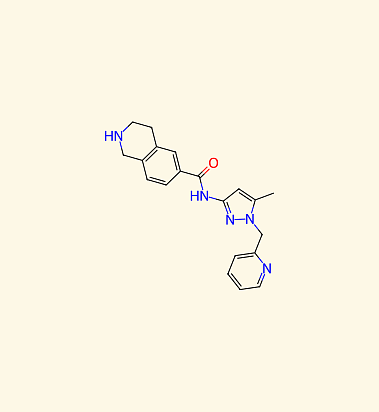 Cc1cc(NC(=O)c2ccc3c(c2)CCNC3)nn1Cc1ccccn1